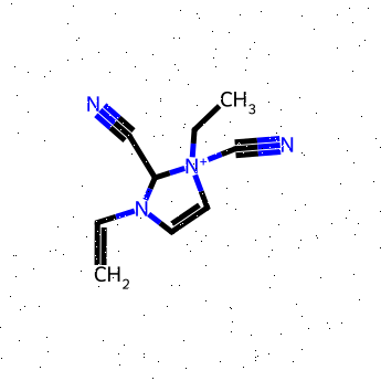 C=CN1C=C[N+](C#N)(CC)C1C#N